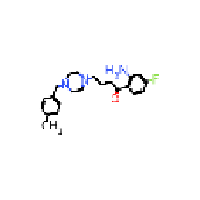 Cc1ccc(CN2CCN(CCCC(=O)c3ccc(F)cc3N)CC2)cc1